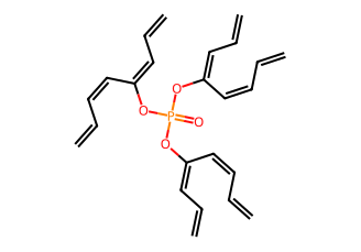 C=C/C=C\C(=C/C=C)OP(=O)(OC(/C=C\C=C)=C/C=C)OC(/C=C\C=C)=C/C=C